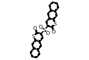 O=c1sc2cc3ccccc3cc2cc1S(=O)(=O)c1cc2cc3ccccc3cc2sc1=O